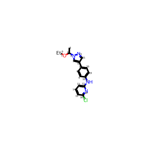 CCOC(C)n1cc(-c2ccc(Nc3cccc(Cl)n3)cc2)cn1